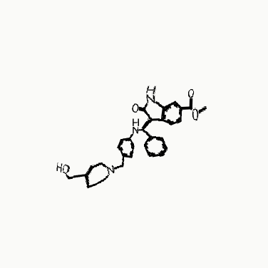 COC(=O)c1ccc2c(c1)NC(=O)/C2=C(\Nc1ccc(CN2CCC(CO)CC2)cc1)c1ccccc1